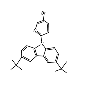 CC(C)(C)c1ccc2c(c1)c1cc(C(C)(C)C)ccc1n2-c1ccc(Br)cn1